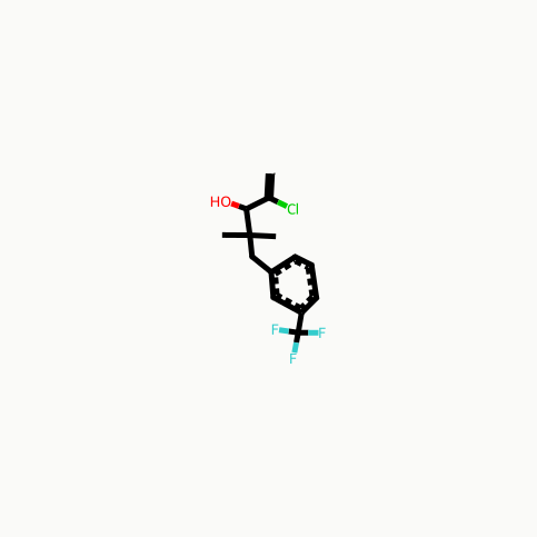 [CH]=C(Cl)C(O)C(C)(C)Cc1cccc(C(F)(F)F)c1